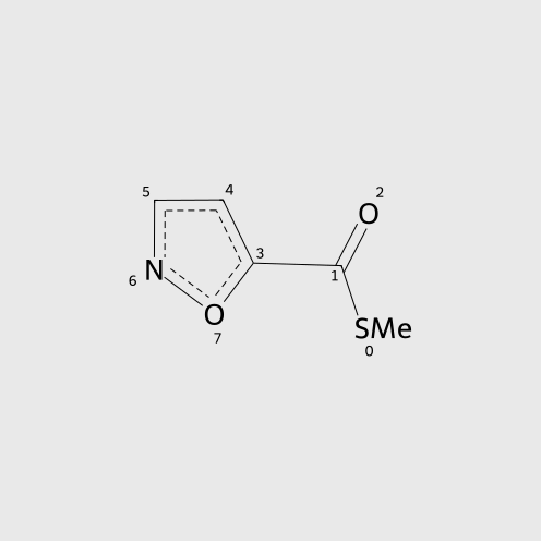 CSC(=O)c1ccno1